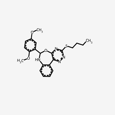 CCCCSc1nnc2c(n1)OC(c1cc(OC)ccc1OC)Nc1ccccc1-2